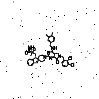 Cc1ccc(CNc2nc(N3CCC4(CC3)Cc3ccccc3[C@H]4CC(C)(C)[S+](N)[O-])nc3c2CN(Cc2cccc(Cl)c2Cl)C3=O)cc1C